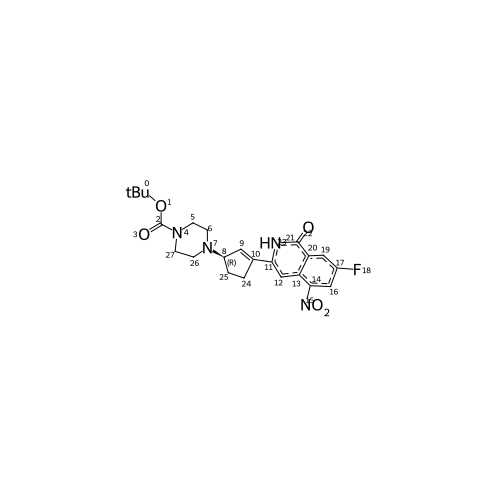 CC(C)(C)OC(=O)N1CCN([C@H]2C=C(c3cc4c([N+](=O)[O-])cc(F)cc4c(=O)[nH]3)CC2)CC1